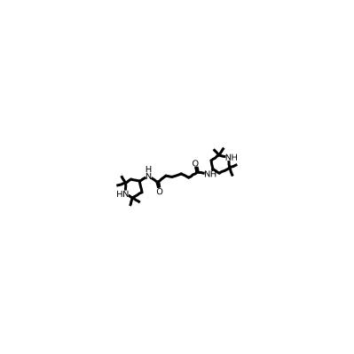 CC1(C)CC(NC(=O)CCCCC(=O)NC2CC(C)(C)NC(C)(C)C2)CC(C)(C)N1